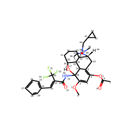 COC1=CC(OC(C)=O)=C2C[C@@H]3[C@@H]4CCC[C@@H]5OC1(NC(=O)C(=Cc1ccccc1)C(F)(F)F)C2[C@@]54CC[N+]3(C)CC1CC1